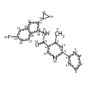 Cc1nc(-c2ncccn2)ncc1C(=O)Nn1c(C2CC2)cc2cc(F)ccc21